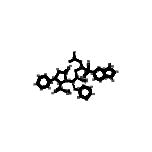 CC(C)CN(C[C@@H](O)[C@H](Cc1ccccc1)N1C(=O)OC(c2ccccc2)C1C(N)=O)S(=O)(=O)c1ccc2nc[nH]c2c1